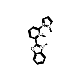 Cn1ccc[n+]1-c1cccc(-c2oc3ccccc3[n+]2C)[n+]1C